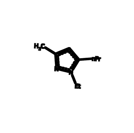 [CH2]CCc1cc(C)nn1CC